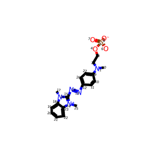 CN(CCOS(=O)(=O)[O-])c1ccc(N=Nc2n(C)c3ccccc3[n+]2C)cc1